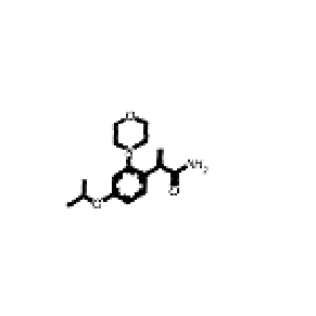 C=C(C(N)=O)c1ccc(OC(C)C)cc1N1CCOCC1